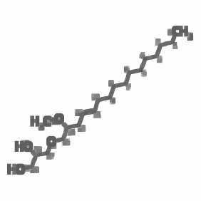 CCCCCCCCCCCC=CCC(COCC(O)CO)OC